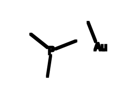 CP(C)C.[CH3][Au]